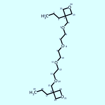 CCCC1(COCCOCCOCCOCC2(CCC)COC2)COC1